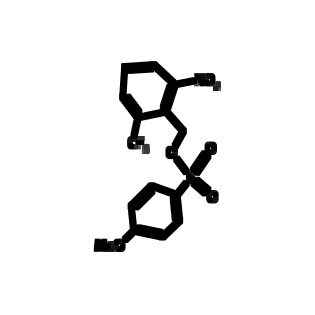 COc1ccc(S(=O)(=O)OCc2c([N+](=O)[O-])cccc2C(F)(F)F)cc1